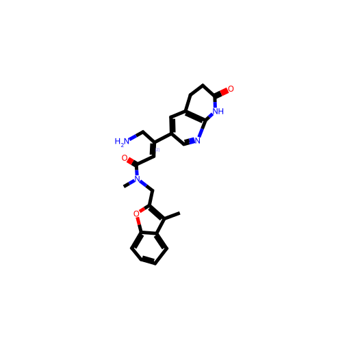 Cc1c(CN(C)C(=O)/C=C(\CN)c2cnc3c(c2)CCC(=O)N3)oc2ccccc12